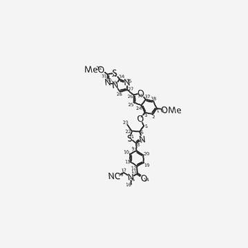 COc1cc(OCC2N=C(c3ccc(C(=O)N(C)CC#N)cc3)SC2C)c2cc(-c3cn4nc(OC)sc4n3)oc2c1